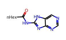 CCCCCCC(=O)Nc1nc2ncncc2[nH]1